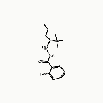 CCCC(NNC(=O)c1ccccc1F)C(C)(C)C